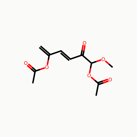 C=C(/C=C/C(=O)C(OC)OC(C)=O)OC(C)=O